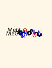 COc1cc(C(=O)Nc2ccc3c(c2)CCN3C(=O)Cc2ccccn2)c(N(C)C)cc1OC